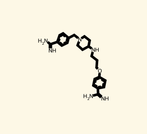 N=C(N)c1ccc(CN2CCC(NCCCOc3ccc(C(=N)N)cc3)CC2)cc1